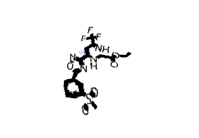 CCOC(=O)CN/C(=C\C(=N)C(F)(F)F)c1noc(-c2cccc(S(C)(=O)=O)c2)n1